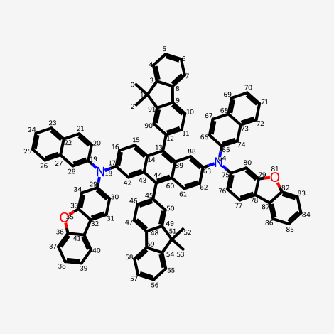 CC1(C)c2ccccc2-c2ccc(-c3c4ccc(N(c5ccc6ccccc6c5)c5ccc6c(c5)oc5ccccc56)cc4c(-c4ccc5c(c4)C(C)(C)c4ccccc4-5)c4ccc(N(c5ccc6ccccc6c5)c5ccc6c(c5)oc5ccccc56)cc34)cc21